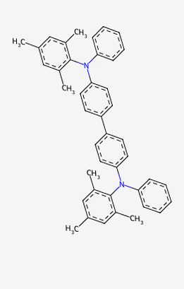 Cc1cc(C)c(N(c2ccccc2)c2ccc(-c3ccc(N(c4ccccc4)c4c(C)cc(C)cc4C)cc3)cc2)c(C)c1